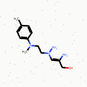 Cc1ccc(N(C)CCN(N)/C=C(\N)CO)cc1